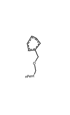 [CH2]CCCCCOCc1[c]cccc1